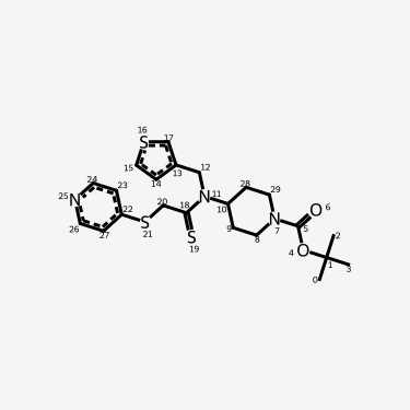 CC(C)(C)OC(=O)N1CCC(N(Cc2ccsc2)C(=S)CSc2ccncc2)CC1